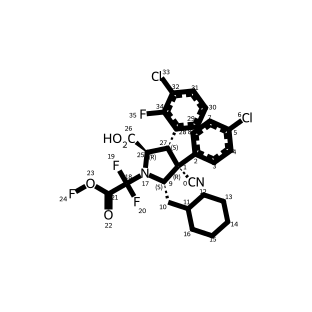 N#C[C@]1(c2ccc(Cl)cc2)[C@H](CC2CCCCC2)N(C(F)(F)C(=O)OF)[C@@H](C(=O)O)[C@@H]1c1cccc(Cl)c1F